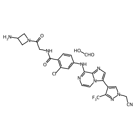 N#CCn1cc(-c2cnc3c(Nc4ccc(C(=O)NCC(=O)N5CC(N)C5)c(Cl)c4)nccn23)c(C(F)(F)F)n1.O=CO